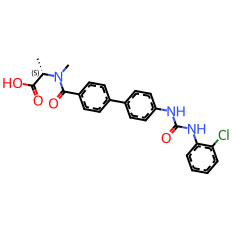 C[C@@H](C(=O)O)N(C)C(=O)c1ccc(-c2ccc(NC(=O)Nc3ccccc3Cl)cc2)cc1